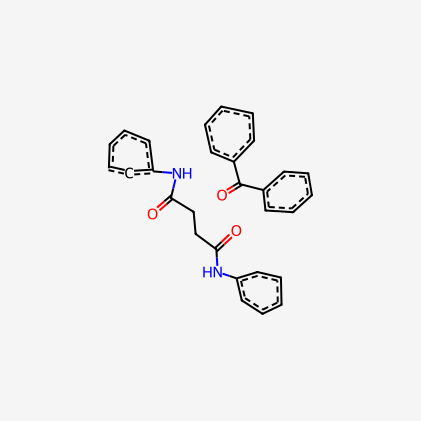 O=C(CCC(=O)Nc1ccccc1)Nc1ccccc1.O=C(c1ccccc1)c1ccccc1